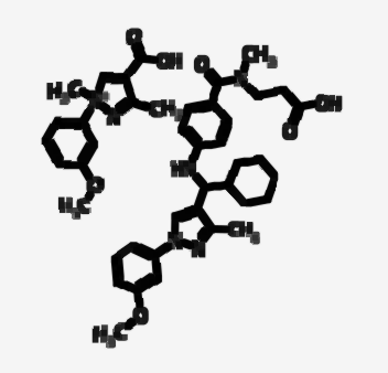 COc1cccc(-n2cc(C(Nc3ccc(C(=O)N(C)CCC(=O)O)cc3)C3CCCCC3)c(C)n2)c1.COc1cccc([N+]2(C)C=C(C(=O)O)C(C)=N2)c1